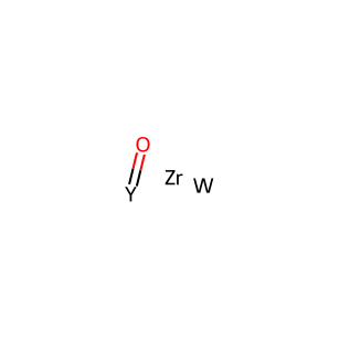 [O]=[Y].[W].[Zr]